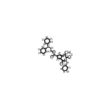 Cn1c(=O)n(Cc2ccccc2)c(=O)c2cc(C(=O)OCCC(c3ccccc3)c3ccccc3)sc21